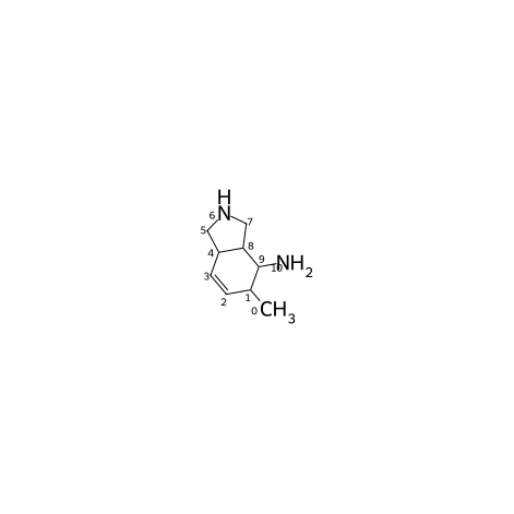 CC1C=CC2CNCC2C1N